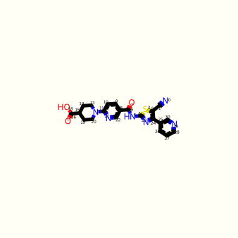 N#Cc1sc(NC(=O)c2ccc(N3CCC(C(=O)O)CC3)nc2)nc1-c1cccnc1